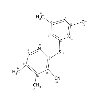 Cc1cc(C)nc(Sc2nnc(C)c(C)c2C#N)c1